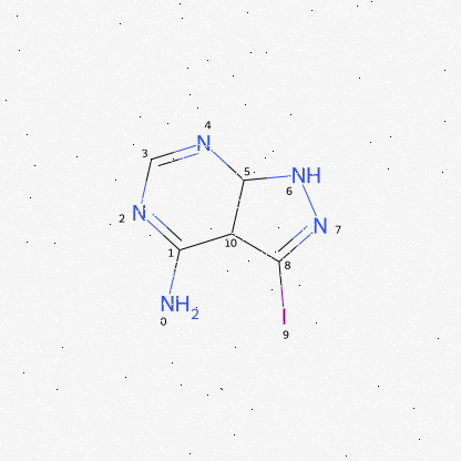 NC1=NC=NC2NN=C(I)C12